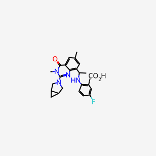 Cc1cc(C(C)Nc2ccc(F)cc2C(=O)O)c2nc(N3CC4CC4C3)n(C)c(=O)c2c1